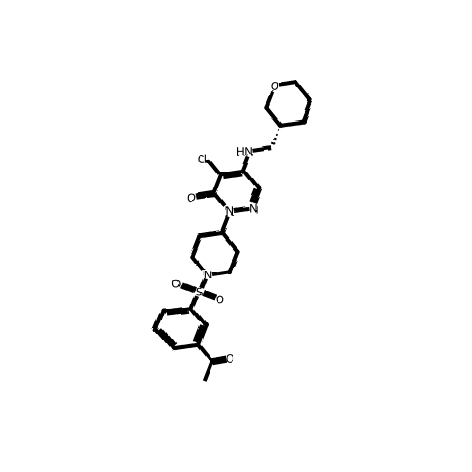 CC(=O)c1cccc(S(=O)(=O)N2CCC(n3ncc(NC[C@H]4CCCOC4)c(Cl)c3=O)CC2)c1